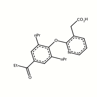 CCCc1cc(C(=O)CC)cc(CCC)c1Oc1ncccc1CC(=O)O